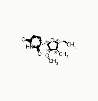 CC[C@H]1O[C@@H](n2ccc(=O)[nH]c2=O)[C@@H](OC)[C@@H]1C